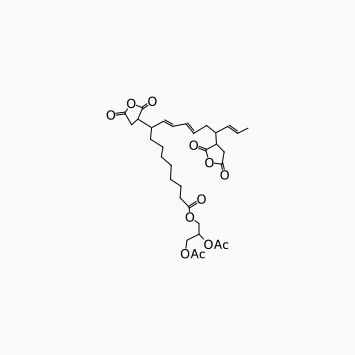 C/C=C/C(C/C=C/C=C/C(CCCCCCCC(=O)OCC(COC(C)=O)OC(C)=O)C1CC(=O)OC1=O)C1CC(=O)OC1=O